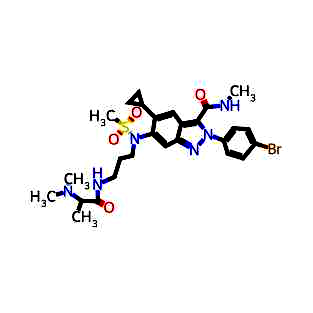 CNC(=O)c1c2cc(C3CC3)c(N(CCCNC(=O)C(C)N(C)C)S(C)(=O)=O)cc2nn1-c1ccc(Br)cc1